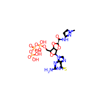 Cn1ccc(NC(=O)[C@@H]2OC3C(COP(=O)(O)OP(=O)(O)OP(=O)(O)O)OC(n4cnc5c(=S)[nH]c(N)nc54)C3O2)n1